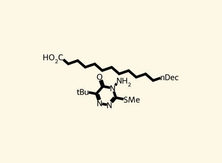 CCCCCCCCCCCCCCCCCCCCCC(=O)O.CSc1nnc(C(C)(C)C)c(=O)n1N